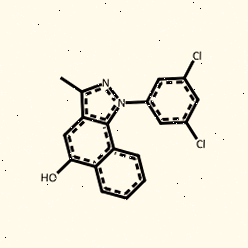 Cc1nn(-c2cc(Cl)cc(Cl)c2)c2c1cc(O)c1ccccc12